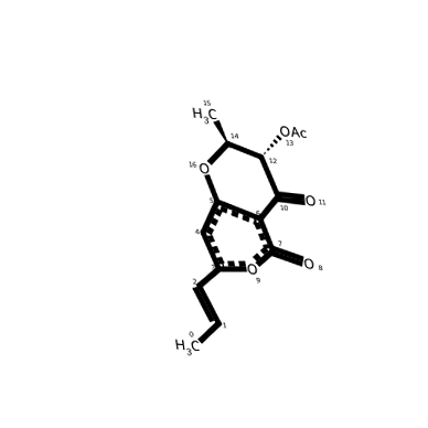 C/C=C/c1cc2c(c(=O)o1)C(=O)[C@@H](OC(C)=O)[C@H](C)O2